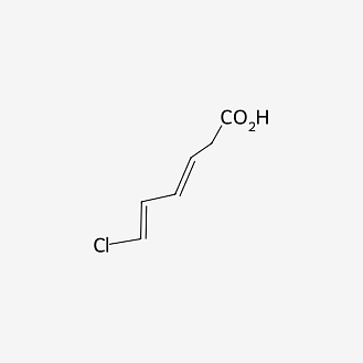 O=C(O)CC=CC=CCl